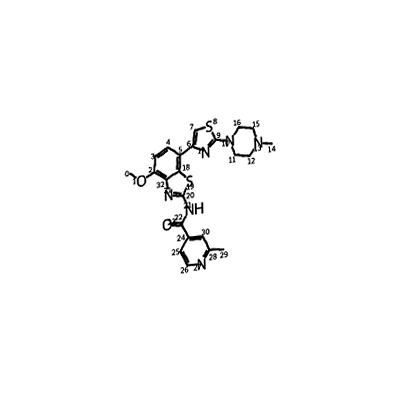 COc1ccc(-c2csc(N3CCN(C)CC3)n2)c2sc(NC(=O)c3ccnc(C)c3)nc12